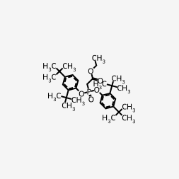 CCOC(=O)CP(=O)(Oc1ccc(C(C)(C)C)cc1C(C)(C)C)Oc1ccc(C(C)(C)C)cc1C(C)(C)C